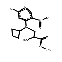 COC(=O)C(C)CN(c1nc(Cl)ncc1[N+](=O)[O-])C1CCC1